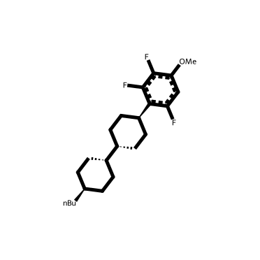 CCCC[C@H]1CC[C@H]([C@H]2CC[C@H](c3c(F)cc(OC)c(F)c3F)CC2)CC1